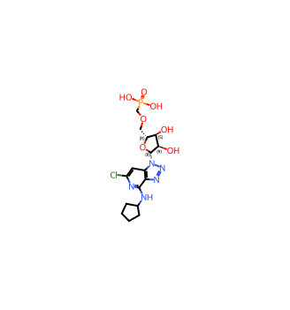 O=P(O)(O)COC[C@H]1O[C@@H](n2nnc3c(NC4CCCC4)nc(Cl)cc32)[C@H](O)[C@@H]1O